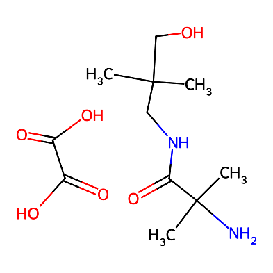 CC(C)(CO)CNC(=O)C(C)(C)N.O=C(O)C(=O)O